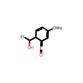 CCC(O)C1C=CC(OC)=CC1=C=O